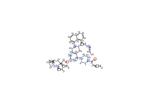 C=CC(=O)N1CCN(c2nc(OC[C@](C)(CC)N(C)C3CCC3)nc3c2CCN(c2cccc4cccc(C)c24)C3)C[C@@H]1CC#N